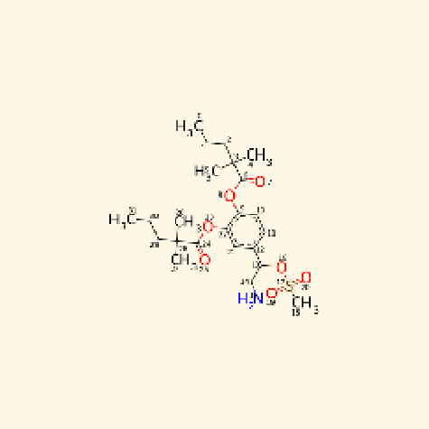 CCCC(C)(C)C(=O)Oc1ccc(C(CN)OS(C)(=O)=O)cc1OC(=O)C(C)(C)CCC